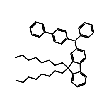 CCCCCCCCC1(CCCCCCCC)c2ccccc2-c2ccc(N(c3ccccc3)c3ccc(-c4ccccc4)cc3)cc21